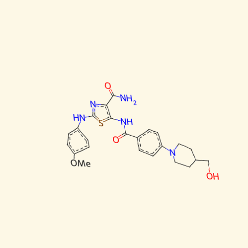 COc1ccc(Nc2nc(C(N)=O)c(NC(=O)c3ccc(N4CCC(CO)CC4)cc3)s2)cc1